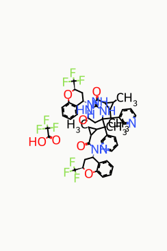 CC1C(C(=O)N[C@H]2C[C@H](C(F)(F)F)Oc3ccccc32)C1C(C)(c1cccnc1)C1(C(C)(c2cccnc2)C2C(C)C2C(=O)N[C@H]2C[C@H](C(F)(F)F)Oc3ccccc32)CC(=O)NC(=N)N1.O=C(O)C(F)(F)F